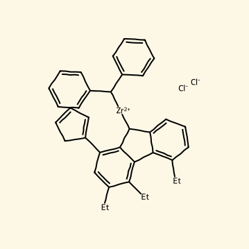 CCc1cc(C2=CC=CC2)c2c(c1CC)-c1c(CC)cccc1[CH]2[Zr+2][CH](c1ccccc1)c1ccccc1.[Cl-].[Cl-]